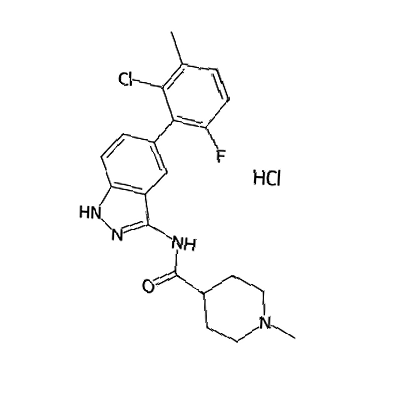 Cc1ccc(F)c(-c2ccc3[nH]nc(NC(=O)C4CCN(C)CC4)c3c2)c1Cl.Cl